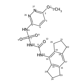 COc1ccc(NS(=O)(=O)NC(=O)Nc2c3c(cc4c2CCC4)CCC3)nn1